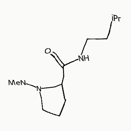 CNN1CCCC1C(=O)NCCC(C)C